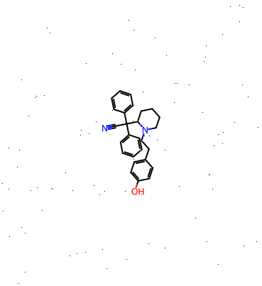 N#CC(c1ccccc1)(c1ccccc1)C1CCCCN1CCc1ccc(O)cc1